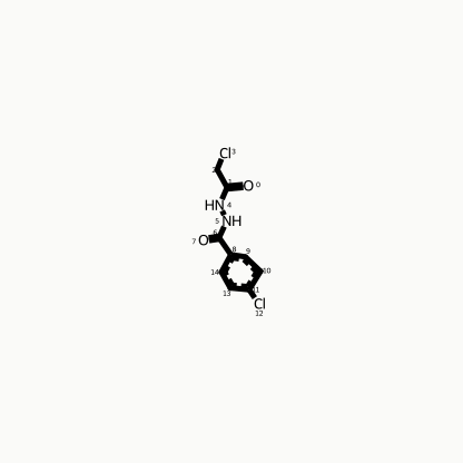 O=C(CCl)NNC(=O)c1ccc(Cl)cc1